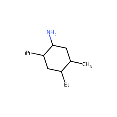 CCC1CC(C(C)C)C(N)CC1C